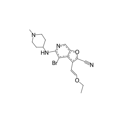 CCO/C=C/c1c(C#N)oc2cnc(NC3CCN(C)CC3)c(Br)c12